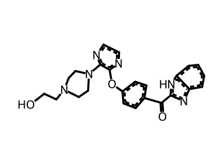 O=C(c1ccc(Oc2nccnc2N2CCN(CCO)CC2)cc1)c1nc2ccccc2[nH]1